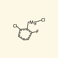 Fc1cccc(Cl)c1[CH2][Mg][Cl]